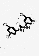 O=C(Nc1cc(F)cc(Cl)c1)Nc1cc(Cl)cc(Cl)c1